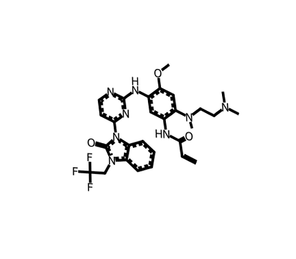 C=CC(=O)Nc1cc(Nc2nccc(-n3c(=O)n(CC(F)(F)F)c4ccccc43)n2)c(OC)cc1N(C)CCN(C)C